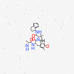 CN[C@@H](C)C(=O)N[C@H]1Cc2cc(C)c(OC)cc2[C@H]2CC(C)(C)C(C(=O)N[C@@H]3CCCc4ccccc43)N2C1=O